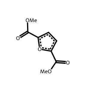 COC(=O)c1ccc(C(=O)OC)o1